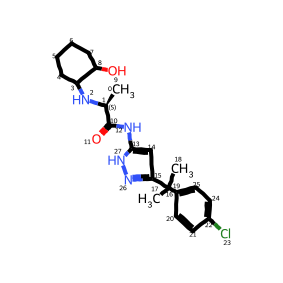 C[C@H](NC1CCCCC1O)C(=O)Nc1cc(C(C)(C)c2ccc(Cl)cc2)n[nH]1